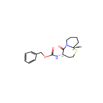 O=C(N[C@H]1CCS[C@H]2CCCCN2C1=O)OCc1ccccc1